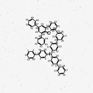 c1ccc(-c2ccc(N(c3ccc(-c4ccccc4)cc3)c3ccc(-c4cccc(-c5cccc6c5oc5c(-c7ccccc7)cc(-c7ccccc7)cc56)c4)cc3)cc2)cc1